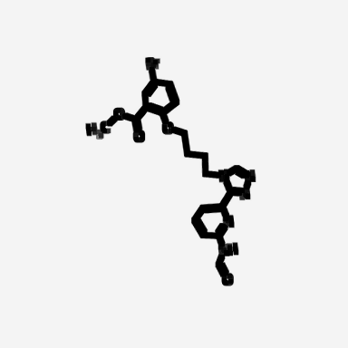 COC(=O)c1cc(Br)ccc1OCCCCn1cnnc1-c1cccc(NC=O)n1